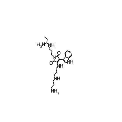 CCC(N)NCCCN1C(=O)C(NCCCNCCCN)=C(c2c[nH]c3ccccc23)C1=O